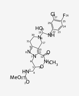 COC(=O)NCC1Cn2nc3c(c2C(=O)N(C)O1)CN(C(O)Nc1ccc(F)c(Cl)c1)CC3